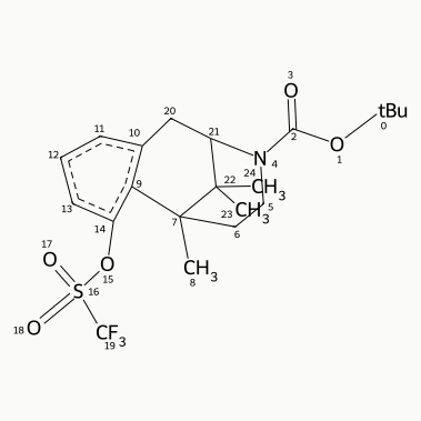 CC(C)(C)OC(=O)N1CCC2(C)c3c(cccc3OS(=O)(=O)C(F)(F)F)CC1C2(C)C